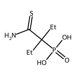 CCC(CC)(C(N)=S)P(=O)(O)O